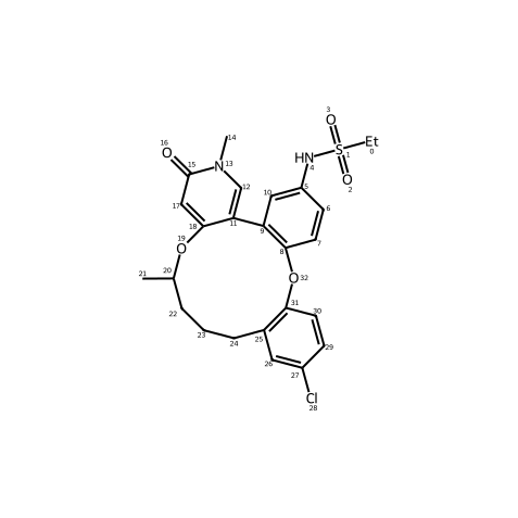 CCS(=O)(=O)Nc1ccc2c(c1)-c1cn(C)c(=O)cc1OC(C)CCCc1cc(Cl)ccc1O2